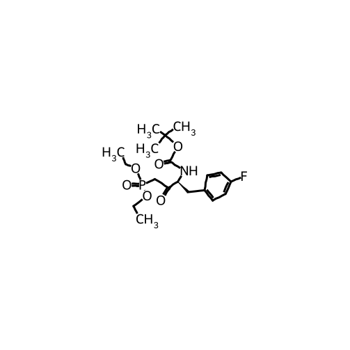 CCOP(=O)(CC(=O)[C@H](Cc1ccc(F)cc1)NC(=O)OC(C)(C)C)OCC